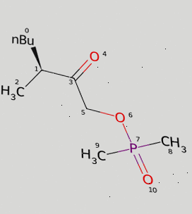 CCCC[C@H](C)C(=O)COP(C)(C)=O